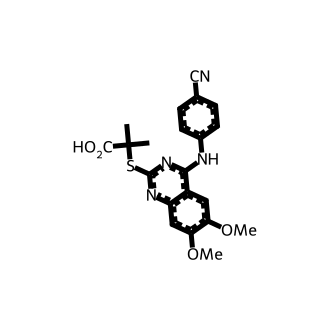 COc1cc2nc(SC(C)(C)C(=O)O)nc(Nc3ccc(C#N)cc3)c2cc1OC